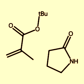 C=C(C)C(=O)OC(C)(C)C.O=C1CCCN1